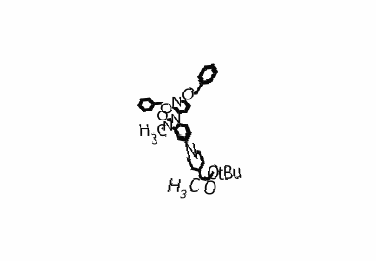 CC(C(=O)OC(C)(C)C)C1CCN(c2ccc3c(c2)n(C)c(=O)n3-c2ccc(OCc3ccccc3)nc2OCc2ccccc2)CC1